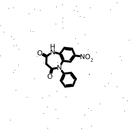 O=C1CC(=O)N(c2ccccc2)c2cc([N+](=O)[O-])ccc2N1